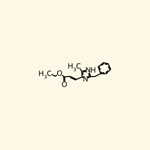 CCOC(=O)C=Cc1nc(Cc2ccccc2)[nH]c1C